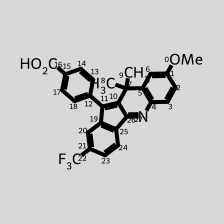 COc1ccc2c(c1)C(C)(C)C1=C(c3ccc(C(=O)O)cc3)c3cc(C(F)(F)F)ccc3C1=N2